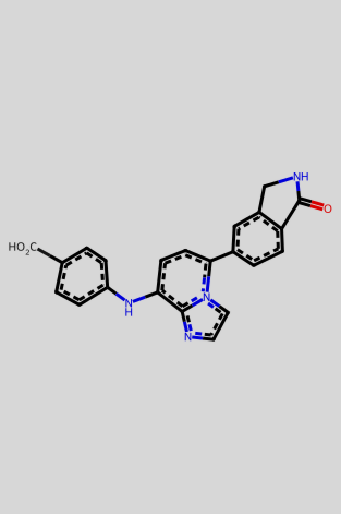 O=C(O)c1ccc(Nc2ccc(-c3ccc4c(c3)CNC4=O)n3ccnc23)cc1